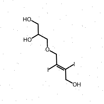 OC/C(I)=C(\I)COCC(O)CO